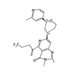 C=C(CCC(F)(F)F)c1nc([C@@H]2CCO[C@H](c3ccnc(C)c3)C2)cc2nc(C)n(C)c(=O)c12